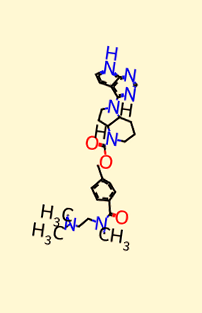 CN(C)CCN(C)C(=O)c1ccc(COC(=O)N2CCC[C@@H]3[C@H]2CCN3c2ncnc3[nH]ccc23)cc1